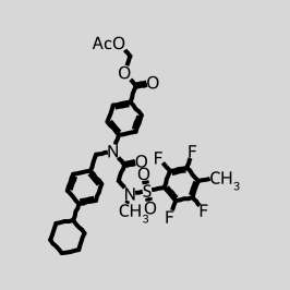 CC(=O)OCOC(=O)c1ccc(N(Cc2ccc(C3CCCCC3)cc2)C(=O)CN(C)S(=O)(=O)c2c(F)c(F)c(C)c(F)c2F)cc1